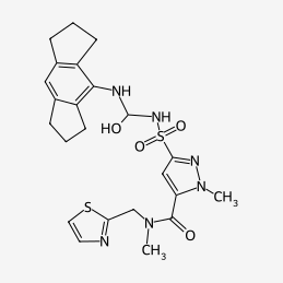 CN(Cc1nccs1)C(=O)c1cc(S(=O)(=O)NC(O)Nc2c3c(cc4c2CCC4)CCC3)nn1C